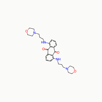 O=C1c2cccc(NCCCN3CCOCC3)c2C(=O)c2cccc(NCCCN3CCOCC3)c21